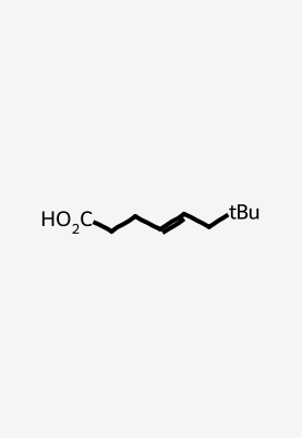 CC(C)(C)CC=CCCC(=O)O